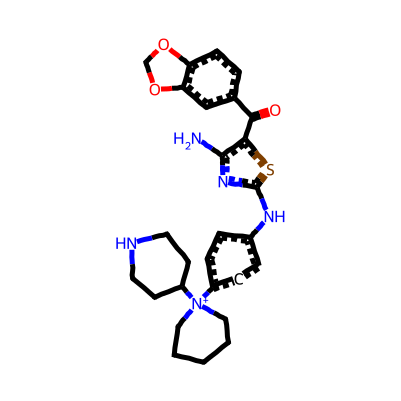 Nc1nc(Nc2ccc([N+]3(C4CCNCC4)CCCCC3)cc2)sc1C(=O)c1ccc2c(c1)OCO2